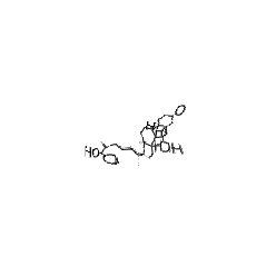 CC(CCC[C@@H](C)[C@H]1CC[C@H]2[C@@H]3[C@H](O)C=C4CC(=O)CC[C@]4(C)[C@H]3CC[C@]12C)C(=O)O